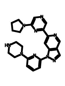 c1cc(N2CCNCC2)nc(-n2ncc3cnc(-c4cncc(N5CCCC5)n4)cc32)c1